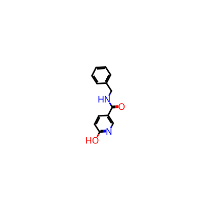 O=C(NCc1ccccc1)c1ccc(O)nc1